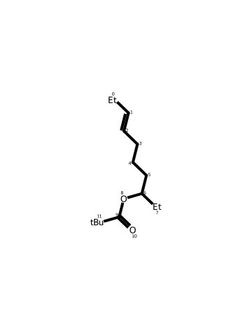 CC/C=C/CCCC(CC)OC(=O)C(C)(C)C